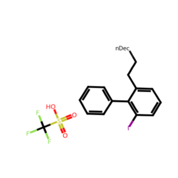 CCCCCCCCCCCCc1cccc(I)c1-c1ccccc1.O=S(=O)(O)C(F)(F)F